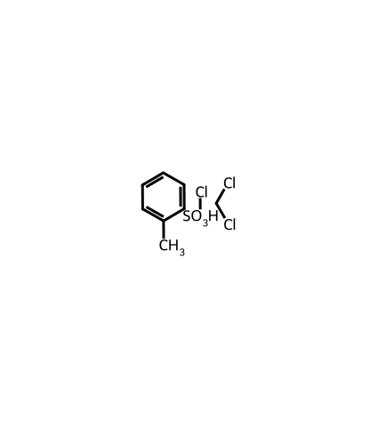 Cc1ccccc1.ClCCl.O=S(=O)(O)Cl